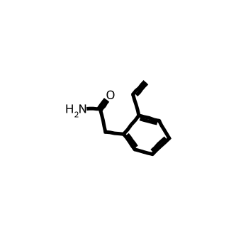 C=Cc1ccccc1CC(N)=O